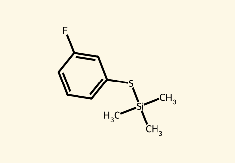 C[Si](C)(C)Sc1cccc(F)c1